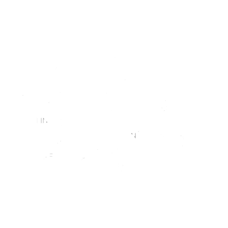 CCOC(=O)CN1CC(C2CCCC2)c2cc(NC3CCCCC3)c(F)cc2C1=O